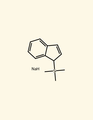 C[Si](C)(C)C1C=Cc2ccccc21.[NaH]